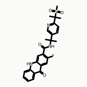 CC(C)(NC(=O)c1cc2[nH]c3ccccc3c(=O)c2cc1F)c1ccc(C(C)(C)S(C)(=O)=O)nc1